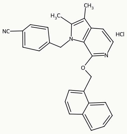 Cc1c(C)n(Cc2ccc(C#N)cc2)c2c(OCc3cccc4ccccc34)nccc12.Cl